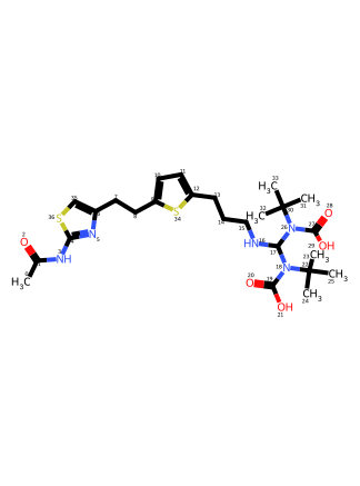 CC(=O)Nc1nc(CCc2ccc(CCCNC(N(C(=O)O)C(C)(C)C)N(C(=O)O)C(C)(C)C)s2)cs1